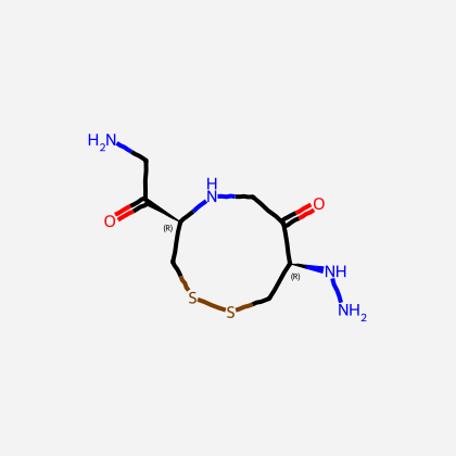 NCC(=O)[C@@H]1CSSC[C@H](NN)C(=O)CN1